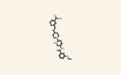 CCOc1cccc(C(=O)NC2=CC=C(N3CCC(CCC4=CC(C(=O)O)=CCC4)CC3)NC2)c1